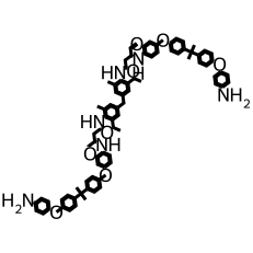 CCc1cc(Cc2cc(C)c(NC(=O)CC(C=O)Nc3ccc(Oc4ccc(C(C)(C)c5ccc(Oc6ccc(N)cc6)cc5)cc4)cc3)c(CC)c2)cc(C)c1NC(=O)CC(C=O)Nc1ccc(Oc2ccc(C(C)(C)c3ccc(Oc4ccc(N)cc4)cc3)cc2)cc1